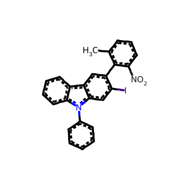 Cc1cccc([N+](=O)[O-])c1-c1cc2c3ccccc3n(-c3ccccc3)c2cc1I